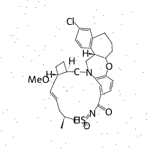 CO[C@H]1/C=C/C[C@H](C)C/[SH](=O)=N\C(=O)c2ccc3c(c2)N(C[C@@H]2CC[C@H]21)C[C@@H]1c2ccc(Cl)cc2CCCC1O3